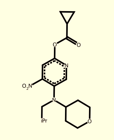 CC(C)CN(c1cnc(OC(=O)C2CC2)cc1[N+](=O)[O-])C1CCOCC1